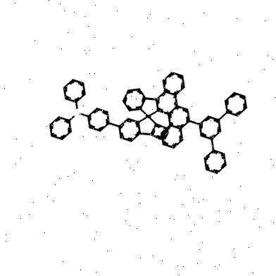 c1ccc(-c2cc(-c3ccccc3)cc(-c3cc4c5ccccc5c5c(c4c4ccccc34)C3(c4ccccc4-c4ccc(-c6ccc(N(c7ccccc7)c7ccccc7)cc6)cc43)c3ccccc3-5)c2)cc1